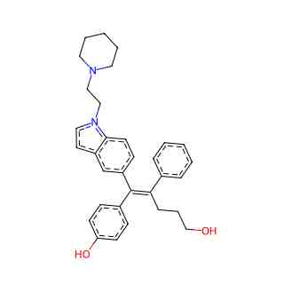 OCCCC(=C(c1ccc(O)cc1)c1ccc2c(ccn2CCN2CCCCC2)c1)c1ccccc1